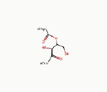 CCCCCCCC(=O)OC(CO)C(O)C(=O)CCCCC